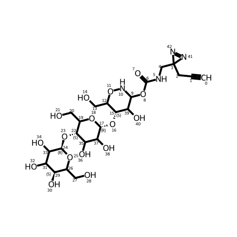 C#CCC1(CNC(=O)OC2NOC(CO)[C@@H](O[C@H]3OC(CO)[C@@H](O[C@H]4OC(CO)[C@@H](O)C(O)C4O)C(O)C3O)C2O)N=N1